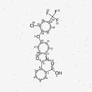 O=C(O)c1ccccc1-c1nc2ccc(Oc3ccc(C(F)(F)F)cc3Cl)cc2o1